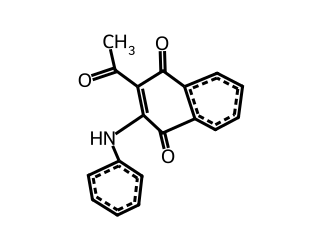 CC(=O)C1=C(Nc2ccccc2)C(=O)c2ccccc2C1=O